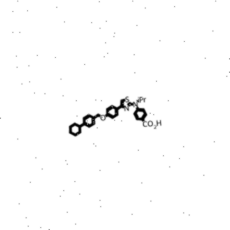 CC(C)N(c1ccc(C(=O)O)cc1)c1nc(-c2ccc(OCc3ccc(C4CCCCC4)cc3)cc2)cs1